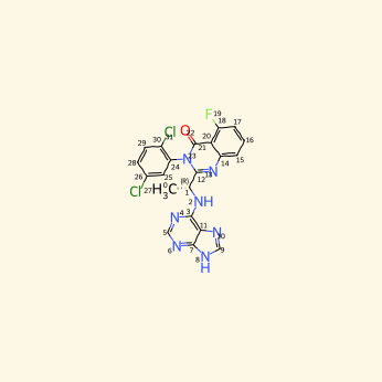 C[C@@H](Nc1ncnc2[nH]cnc12)c1nc2cccc(F)c2c(=O)n1-c1cc(Cl)ccc1Cl